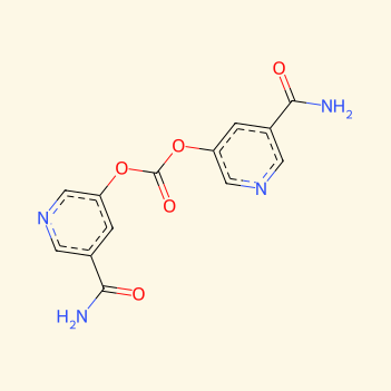 NC(=O)c1cncc(OC(=O)Oc2cncc(C(N)=O)c2)c1